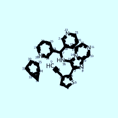 C#Cc1ccsc1-c1nc2cnccn2c1NC(c1cccnc1)c1cccnc1.c1cc2cc-2c1